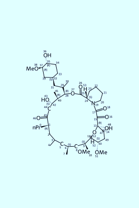 CCC[C@@H]1CC(C)C[C@H](C)C[C@H](OC)[C@H]2O[C@@](O)(C(=O)C(=O)N3CCCC[C@H]3C(=O)O[C@H](C(C)C[C@@H]3CC[C@@H](O)[C@H](OC)C3)[C@H](C)[C@@H](O)CC1=O)[C@H](C)C[C@@H]2OC